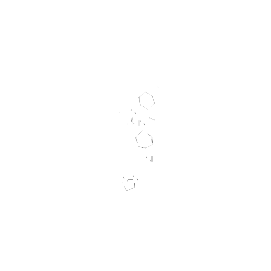 Cc1ccc(C(=O)Nc2ccc(NCCn3cccn3)cc2)c(N(C)C)c1